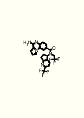 Nc1nc2ccc(C(=O)N(CC(F)(F)F)C3CCc4nc(C(F)(F)F)ccc43)cc2n2cccc12